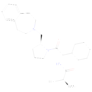 CN[C@@H](C)C(=O)N[C@H](C(=O)N1CCC[C@H]1CN1CCc2ccccc2CC1)C1CCCCC1